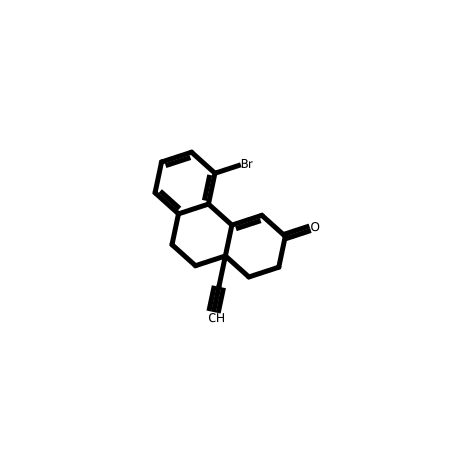 C#CC12CCC(=O)C=C1c1c(Br)cccc1CC2